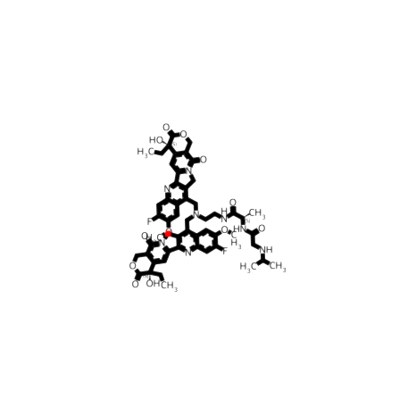 CC[C@@]1(O)C(=O)OCc2c1cc1n(c2=O)Cc2c-1nc1cc(F)c(OC)cc1c2CN(CCNC(=O)[C@H](C)NC(=O)CNC(C)C)Cc1c2c(nc3cc(F)c(OC)cc13)-c1cc3c(c(=O)n1C2)COC(=O)[C@]3(O)CC